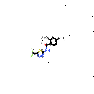 CC(=O)Oc1cc(C)ccc1C(=O)Nc1nnc(C(F)F)s1